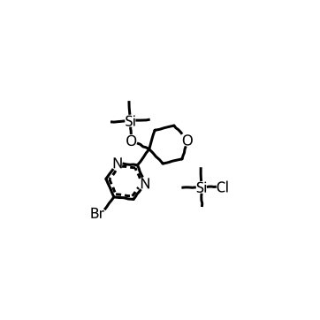 C[Si](C)(C)Cl.C[Si](C)(C)OC1(c2ncc(Br)cn2)CCOCC1